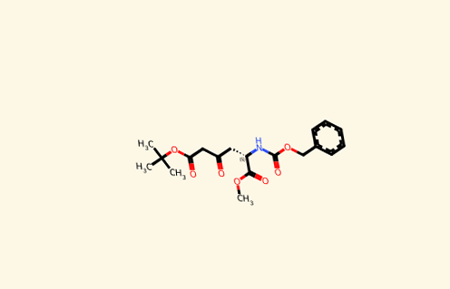 COC(=O)[C@H](CC(=O)CC(=O)OC(C)(C)C)NC(=O)OCc1ccccc1